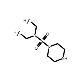 CCN(CC)S(=O)(=O)N1CCNCC1